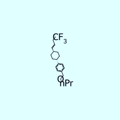 CCCOCc1ccc([C@H]2CC[C@H](C=CCC(F)(F)F)CC2)cc1